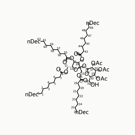 CCCCCCCCCCCCCCCCCC(=O)OC[C@H]1O[C@@](COC(=O)CCCCCCCCCCCCCCCCC)(O[C@H]2O[C@H](CO)[C@@H](OC(C)=O)[C@H](OC(C)=O)[C@H]2OC(C)=O)[C@@H](OC(=O)CCCCCCCCCCCCCCCCC)[C@@H]1OC(=O)CCCCCCCCCCCCCCCCC